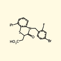 CC(C)c1cccc2c1SC(CC(=O)O)C(=O)N2Cc1ccc(Br)cc1F